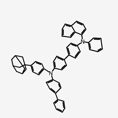 c1ccc(-c2ccc(N(c3ccc(-c4ccc(N(c5ccccc5)c5cccc6ccccc56)cc4)cc3)c3ccc(C45CC6CC(CC(C6)C4)C5)cc3)cc2)cc1